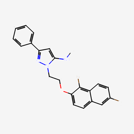 CCNc1cc(-c2ccccc2)nn1CCOc1ccc2cc(Br)ccc2c1Br